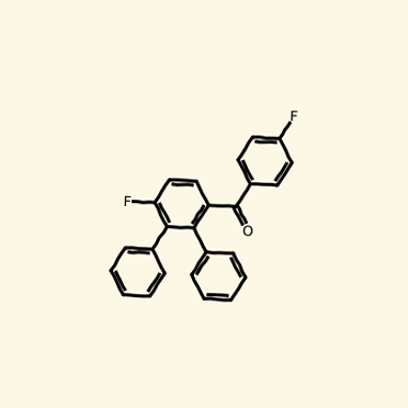 O=C(c1ccc(F)cc1)c1ccc(F)c(-c2ccccc2)c1-c1ccccc1